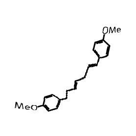 COc1ccc(C=CCC=CCCc2ccc(OC)cc2)cc1